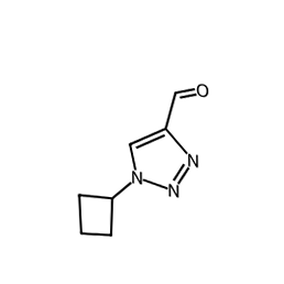 O=Cc1cn(C2CCC2)nn1